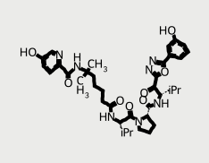 CC(C)[C@H](NC(=O)[C@@H]1CCCN1C(=O)[C@@H](NC(=O)CCCCC(C)(C)NC(=O)c1ccc(O)cn1)C(C)C)C(=O)c1nnc(-c2cccc(O)c2)o1